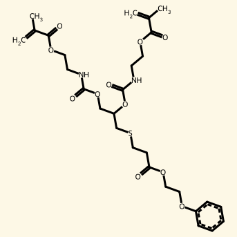 C=C(C)C(=O)OCCNC(=O)OCC(CSCCC(=O)OCCOc1ccccc1)OC(=O)NCCOC(=O)C(=C)C